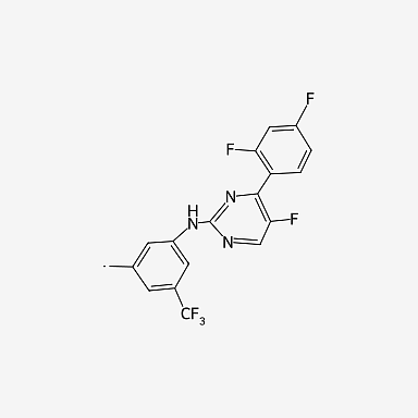 [CH2]c1cc(Nc2ncc(F)c(-c3ccc(F)cc3F)n2)cc(C(F)(F)F)c1